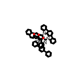 c1ccc(-c2ccc(-c3ccccc3)c(-c3nc(-c4ccccc4)nc(-n4c5ccccc5c5ccc6c7ccccc7n(-c7cc(-c8ccc9ccccc9c8)c8oc9ccccc9c8c7)c6c54)n3)c2)cc1